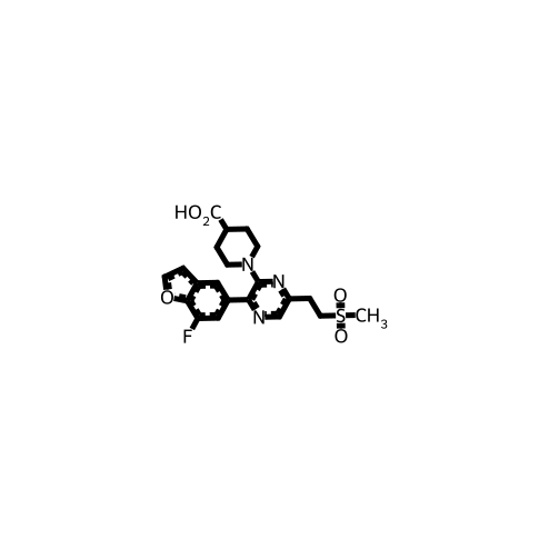 CS(=O)(=O)CCc1cnc(-c2cc(F)c3occc3c2)c(N2CCC(C(=O)O)CC2)n1